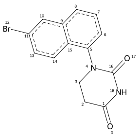 O=C1CCN(c2cccc3cc(Br)ccc23)C(=O)N1